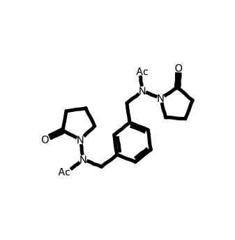 CC(=O)N(Cc1cccc(CN(C(C)=O)N2CCCC2=O)c1)N1CCCC1=O